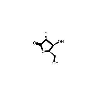 O=C1O[C@H](CO)[C@H](O)[C@@H]1F